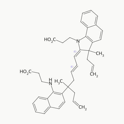 C=CCC(C)(C/C=C/C=C1/N(CCC(=O)O)c2c(ccc3ccccc23)C1(C)CC=C)c1ccc2ccccc2c1NCCC(=O)O